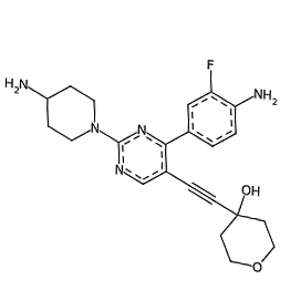 Nc1ccc(-c2nc(N3CCC(N)CC3)ncc2C#CC2(O)CCOCC2)cc1F